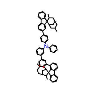 CC1CC2CC(C)C3(c4ccccc4-c4ccc(-c5ccc(N(c6ccccc6)c6cccc(-c7cccc(-c8cccc9c8C8(c%10ccccc%10-9)C9CC(C)CCC(C9)C8C)c7)c6)cc5)cc43)C(C1)C2